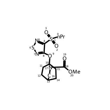 CCCS(=O)(=O)c1nsnc1OC12CCC(CC1)CN2C(=O)OC